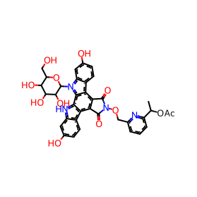 CC(=O)OC(C)c1cccc(CON2C(=O)c3c(c4c5ccc(O)cc5n(C5OC(CO)C(O)C(O)C5O)c4c4[nH]c5cc(O)ccc5c34)C2=O)n1